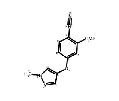 COc1cc(Oc2cnn(C)c2)ccc1[N+]#N